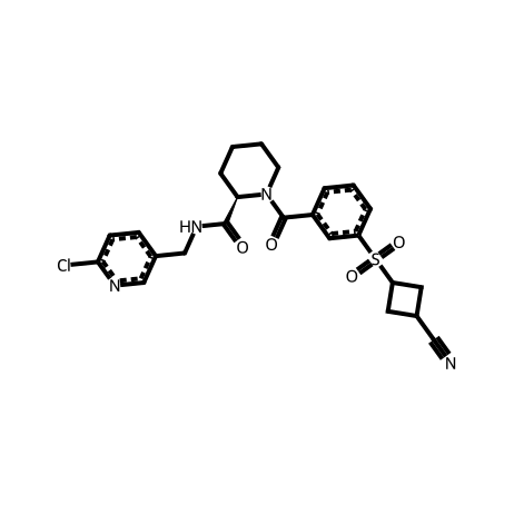 N#CC1CC(S(=O)(=O)c2cccc(C(=O)N3CCCC[C@@H]3C(=O)NCc3ccc(Cl)nc3)c2)C1